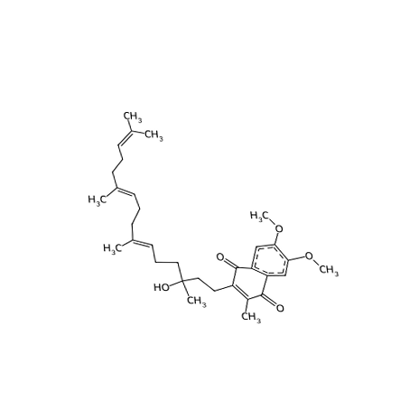 COc1cc2c(cc1OC)C(=O)C(CCC(C)(O)CC/C=C(\C)CC/C=C(\C)CCC=C(C)C)=C(C)C2=O